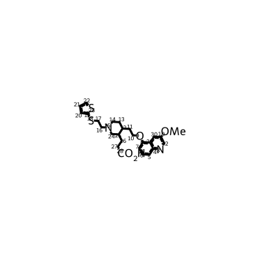 COc1cnc2cccc(OCCC3CCN(CCSc4cccs4)CC3CCC(=O)O)c2c1